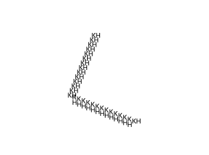 [KH].[KH].[KH].[KH].[KH].[KH].[KH].[KH].[KH].[KH].[KH].[KH].[KH].[KH].[KH].[KH].[KH].[KH].[KH].[KH].[KH].[KH].[KH].[KH].[KH].[KH].[KH].[KH]